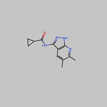 Cc1cc2c(NC(=O)C3CC3)n[nH]c2nc1C